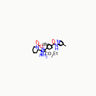 CCOC(=O)c1c(-c2ccc(C(=O)Nc3cc(C)ccn3)cc2)nc(C2CCCCN2C(=O)OC(C)(C)C)n1N